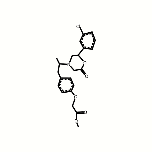 COC(=O)COc1ccc(CC(C)N2CC(=O)OC(c3cccc(Cl)c3)C2)cc1